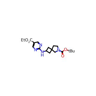 CCOC(=O)c1cnc(NC2CC3(CCN(C(=O)OC(C)(C)C)C3)C2)nc1